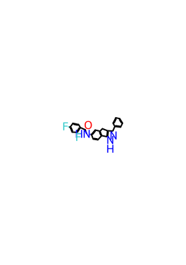 O=C(Nc1ccc2c(c1)Cc1c(-c3ccccc3)n[nH]c1-2)c1ccc(F)cc1F